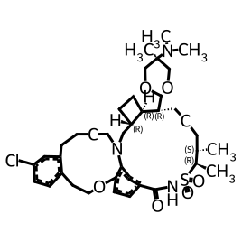 C[C@@H]1[C@@H](C)CCC[C@@H]([C@H]2OC[C@](C)(N(C)C)CO2)[C@@H]2CC[C@H]2CN2CCCCc3cc(Cl)ccc3CCOc3ccc(cc32)C(=O)NS1(=O)=O